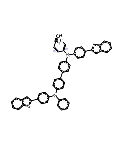 C#C/C=C\C(=C/C)N(c1ccc(-c2ccc(N(c3ccccc3)c3ccc(-c4cc5ccccc5s4)cc3)cc2)cc1)c1ccc(-c2cc3ccccc3s2)cc1